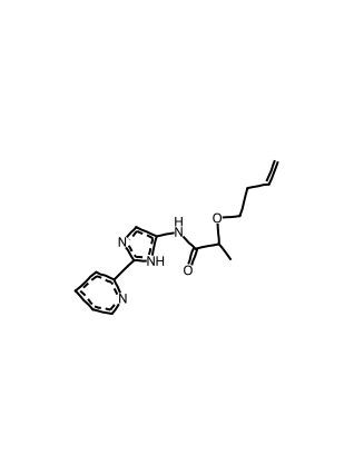 C=CCCOC(C)C(=O)Nc1cnc(-c2ccccn2)[nH]1